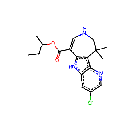 CCC(C)OC(=O)C1=CNCC(C)(C)c2c1[nH]c1cc(Cl)cnc21